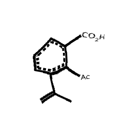 C=C(C)c1cccc(C(=O)O)c1C(C)=O